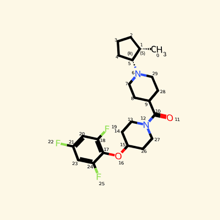 C[C@H]1CCC[C@H]1N1CCC(C(=O)N2CCC(Oc3c(F)cc(F)cc3F)CC2)CC1